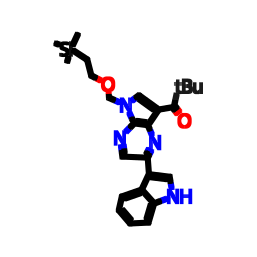 CC(C)(C)C(=O)c1cn(COCC[Si](C)(C)C)c2ncc(-c3c[nH]c4ccccc34)nc12